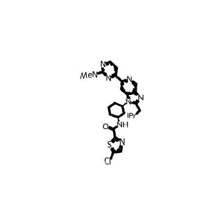 CNc1nccc(-c2cc3c(cn2)nc(CC(C)C)n3[C@@H]2CCC[C@H](NC(=O)c3ncc(Cl)s3)C2)n1